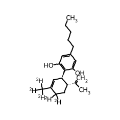 [2H]C([2H])([2H])C1=C[C@@H](c2c(O)cc(CCCCC)cc2O)[C@H](C(=C)C)CC1([2H])[2H]